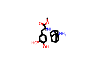 COC(=O)[C@@H](N)Cc1ccc(O)c(O)c1.NC12CC3CC(CC(C3)C1)C2